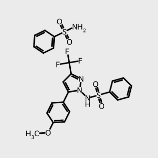 COc1ccc(-c2cc(C(F)(F)F)nn2NS(=O)(=O)c2ccccc2)cc1.NS(=O)(=O)c1ccccc1